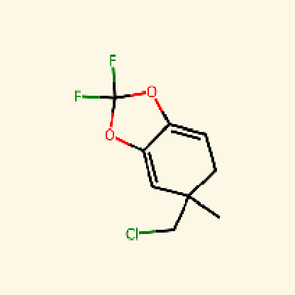 CC1(CCl)C=C2OC(F)(F)OC2=CC1